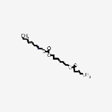 CCCCCC/C=C/COC(=O)OCCCCCCCOC(=O)CCCC